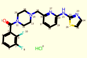 Cl.O=C(c1cccc(F)c1F)N1CCN(Cc2cccc(Nc3nccs3)n2)CC1